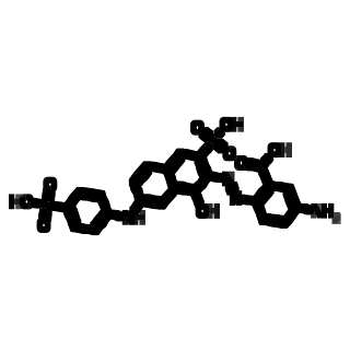 Nc1ccc(N=Nc2c(S(=O)(=O)O)cc3ccc(Nc4ccc(S(=O)(=O)O)cc4)cc3c2O)c(C(=O)O)c1